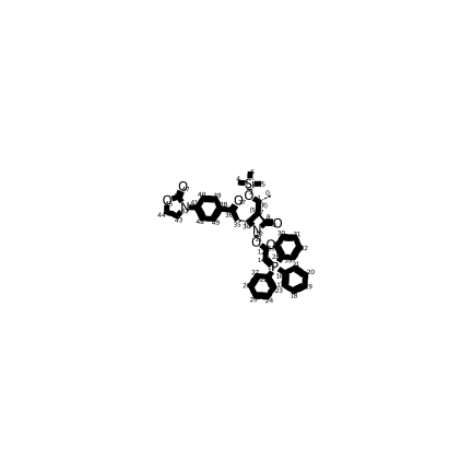 C[C@@H](O[Si](C)(C)C)[C@H]1C(=O)N(OC(=O)C=P(c2ccccc2)(c2ccccc2)c2ccccc2)[C@@H]1CC(=O)c1ccc(N2CCOC2=O)cc1